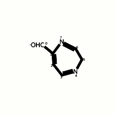 O=[C]C1=CC=NCC=N1